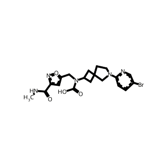 CNC(=O)c1cc(CN(C(=O)O)C2CC3(CCN(c4ccc(Br)cn4)C3)C2)on1